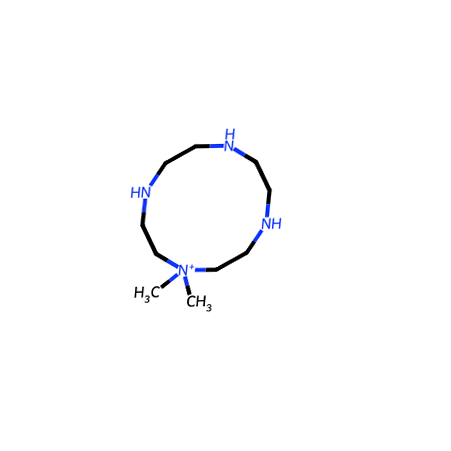 C[N+]1(C)CCNCCNCCNCC1